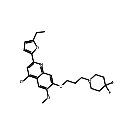 CCc1ccc(-c2cc(Cl)c3cc(OC)c(OCCCN4CCC(F)(F)CC4)cc3n2)o1